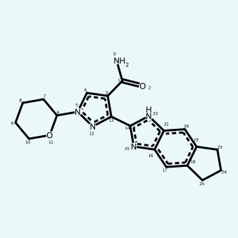 NC(=O)c1cn(C2CCCCO2)nc1-c1nc2cc3c(cc2[nH]1)CCC3